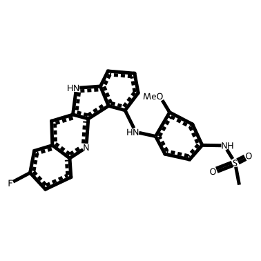 COc1cc(NS(C)(=O)=O)ccc1Nc1cccc2[nH]c3cc4cc(F)ccc4nc3c12